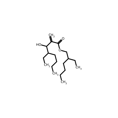 C=C(C(=O)OCC(CC)CCCC)C(O)C(CC)CCCC